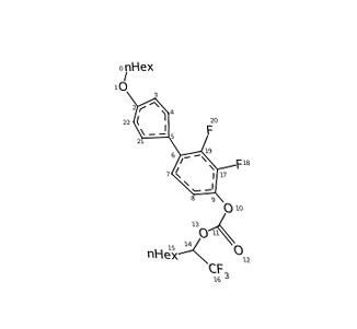 CCCCCCOc1ccc(-c2ccc(OC(=O)OC(CCCCCC)C(F)(F)F)c(F)c2F)cc1